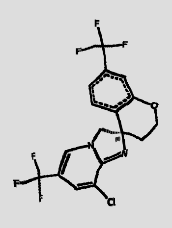 FC(F)(F)C1=CN2C[C@]3(CCOc4cc(C(F)(F)F)ccc43)N=C2C(Cl)=C1